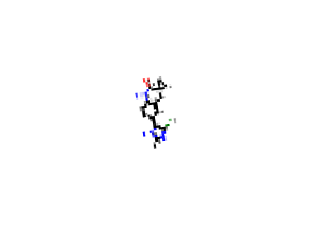 Cc1nc(F)c(-c2ccc3c(c2)CC2(CC2)C(=O)N3)[nH]1